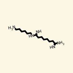 N=C(N)CCCCCCC(=N)NCCCCCCN